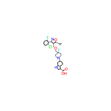 Cn1cc(C(=O)O)c2ccc(N3CCC(F)(COCc4c(-c5c(F)cccc5Cl)noc4C4CC4)CC3)cc21